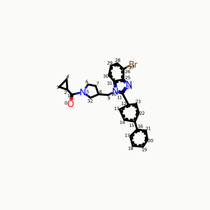 O=C(C1CC1)N1CCC(Cn2c(-c3ccc(-c4ccccc4)cc3)nc3c(Br)cccc32)C1